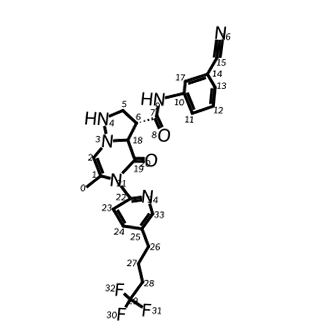 CC1=CN2NC[C@H](C(=O)Nc3cccc(C#N)c3)C2C(=O)N1c1ccc(CCCC(F)(F)F)cn1